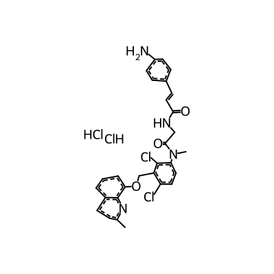 Cc1ccc2cccc(OCc3c(Cl)ccc(N(C)C(=O)CNC(=O)/C=C/c4ccc(N)cc4)c3Cl)c2n1.Cl.Cl